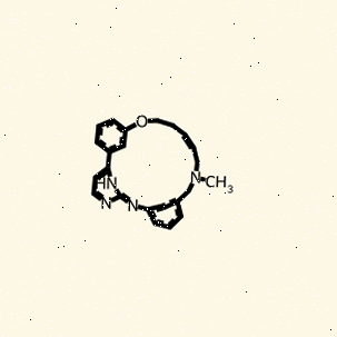 CN1CC=CCCOc2cccc(c2)C2=CC=NC(=Nc3cccc(c3)C1)N2